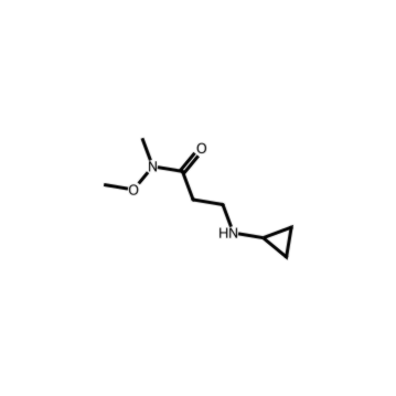 CON(C)C(=O)CCNC1CC1